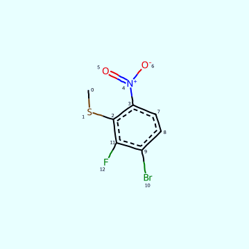 CSc1c([N+](=O)[O-])ccc(Br)c1F